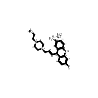 Cl.Cl.OCCN1CCN(C/C=C/C2c3ccc(F)cc3Sc3ccc(C(F)(F)F)cc32)CC1